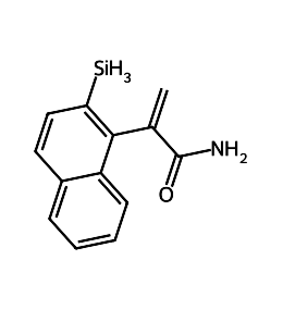 C=C(C(N)=O)c1c([SiH3])ccc2ccccc12